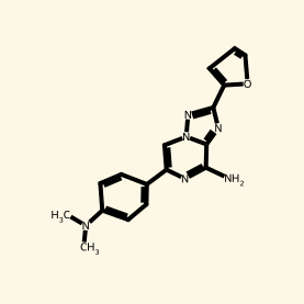 CN(C)c1ccc(-c2cn3nc(-c4ccco4)nc3c(N)n2)cc1